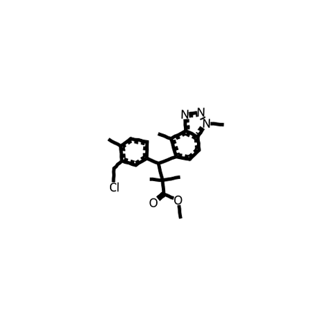 COC(=O)C(C)(C)C(c1ccc(C)c(CCl)c1)c1ccc2c(nnn2C)c1C